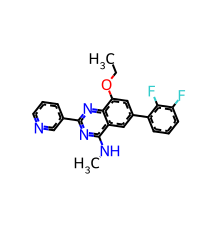 CCOc1cc(-c2cccc(F)c2F)cc2c(NC)nc(-c3cccnc3)nc12